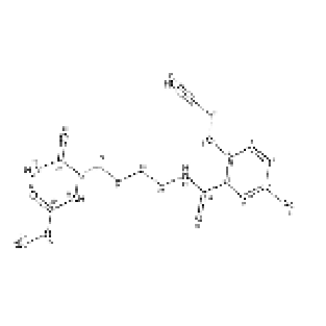 C#CCOc1ccc(C(C)=O)cc1C(=O)NCCCC[C@H](NC(=O)OC(C)(C)C)C(N)=O